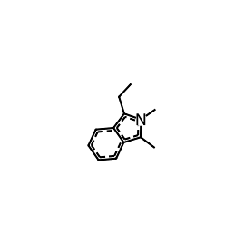 CCc1c2ccccc2c(C)n1C